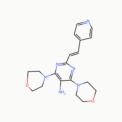 Nc1c(N2CCOCC2)nc(/C=C/c2ccncc2)nc1N1CCOCC1